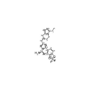 CCc1nnc2n1CCN(Cc1nc3c4ccc5c(c4nc(N)n3n1)OC(F)(F)O5)C2